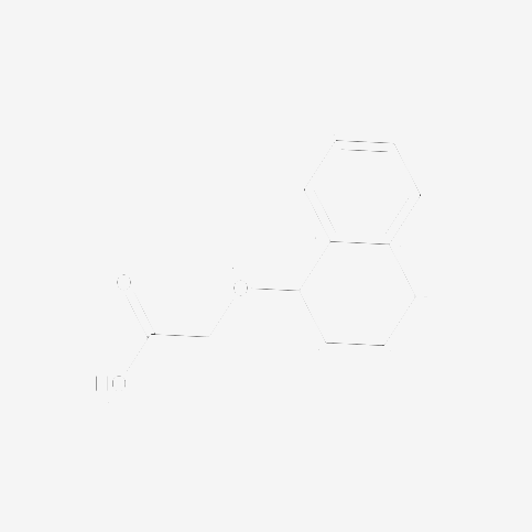 O=C(O)COC1CCCc2ccccc21